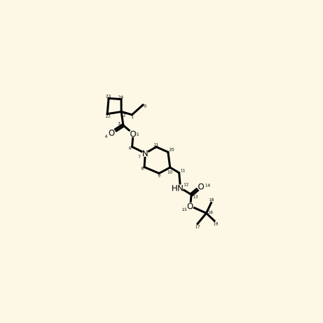 CCC1(C(=O)OCN2CCC(CNC(=O)OC(C)(C)C)CC2)CCC1